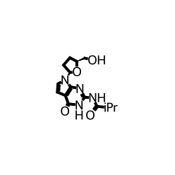 CC(C)C(=O)Nc1nc2c(ccn2[C@H]2CC[C@@H](CO)O2)c(=O)[nH]1